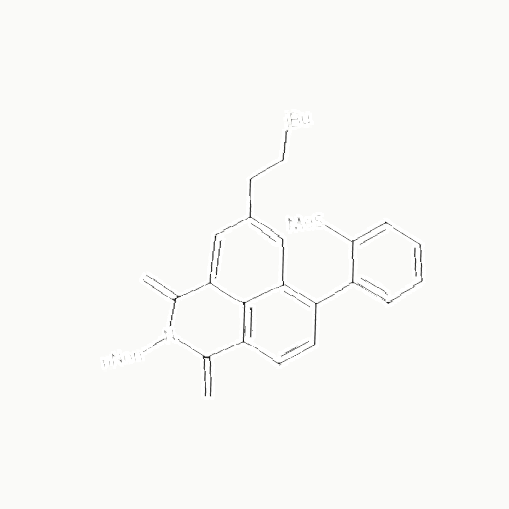 C=C1c2ccc(-c3ccccc3SC)c3cc(CCC(C)CC)cc(c23)C(=C)N1CCCCCCCCC